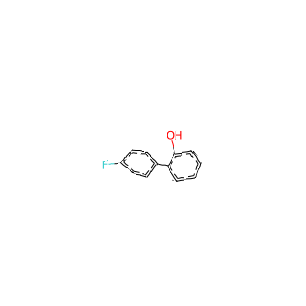 Oc1ccc[c]c1-c1ccc(F)cc1